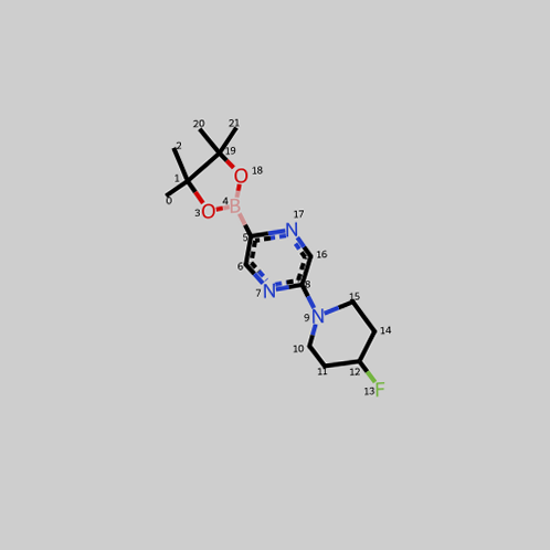 CC1(C)OB(c2cnc(N3CCC(F)CC3)cn2)OC1(C)C